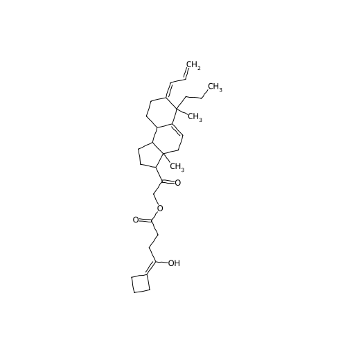 C=C/C=C1/CCC2C(=CCC3(C)C(C(=O)COC(=O)CCC(O)=C4CCC4)CCC23)C1(C)CCC